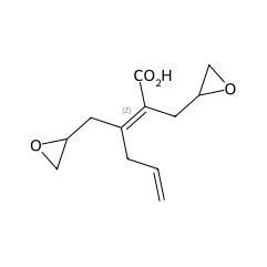 C=CC/C(CC1CO1)=C(\CC1CO1)C(=O)O